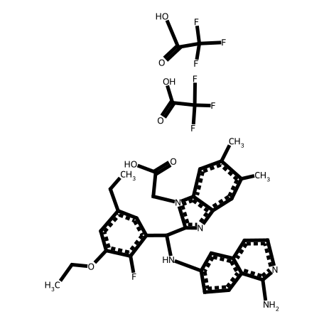 CCOc1cc(CC)cc(C(Nc2ccc3c(N)nccc3c2)c2nc3cc(C)c(C)cc3n2CC(=O)O)c1F.O=C(O)C(F)(F)F.O=C(O)C(F)(F)F